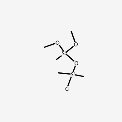 CO[Si](C)(OC)O[Si](C)(C)Cl